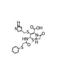 O=C(CSc1ccccc1)NC1S[C@@H]2CC(=O)N2C(C(=O)O)=C1SCc1cn[nH]c1